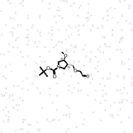 CO[C@@H]1CN(C(=O)OC(C)(C)C)C[C@H]1COCC=O